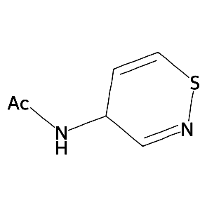 CC(=O)NC1C=CSN=C1